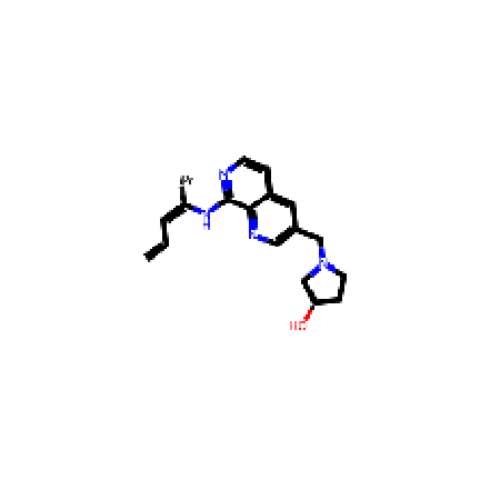 C=C/C=C(\Nc1nccc2cc(CN3CC[C@@H](O)C3)cnc12)C(C)C